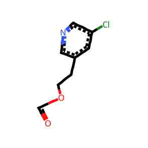 O=COCCc1cncc(Cl)c1